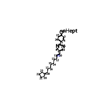 CCCCCCCOc1ccc(-c2ncc(/C=C/CCCCCCCC3CCCC3)cn2)cc1